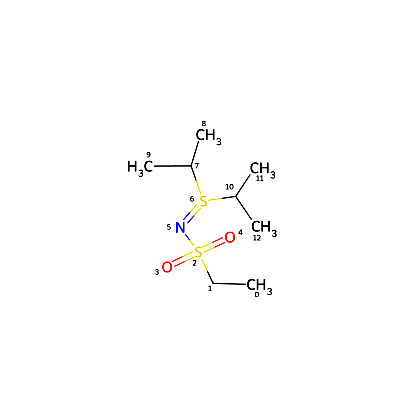 CCS(=O)(=O)N=S(C(C)C)C(C)C